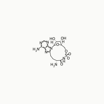 Nc1ncnc2c1nc1n2[C@@H]2O[C@H](COS(=O)(=O)NC(=O)[C@H](N)CC1)[C@@H](O)[C@H]2O